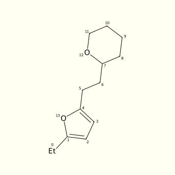 CCc1ccc(CCC2CCCCO2)o1